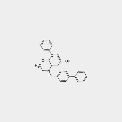 CCN(Cc1ccc(-c2ccccc2)cc1)C(CC(=O)O)C(=O)Oc1ccccc1